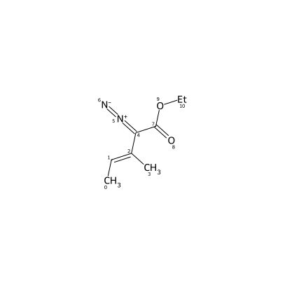 C/C=C(\C)C(=[N+]=[N-])C(=O)OCC